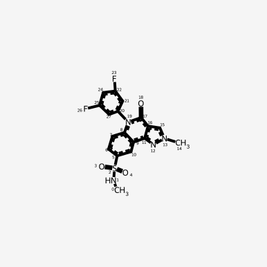 CNS(=O)(=O)c1ccc2c(c1)c1nn(C)cc1c(=O)n2-c1cc(F)cc(F)c1